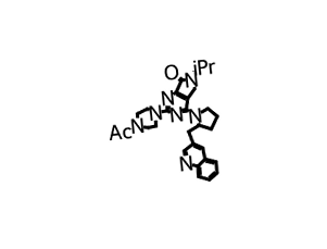 CC(=O)N1CCN(c2nc3c(c(N4CCCC4Cc4cnc5ccccc5c4)n2)CN(C(C)C)C3=O)CC1